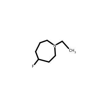 CCN1CCCC(F)CC1